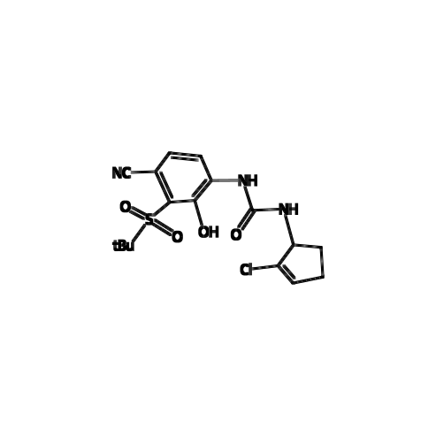 CC(C)(C)S(=O)(=O)c1c(C#N)ccc(NC(=O)NC2CCC=C2Cl)c1O